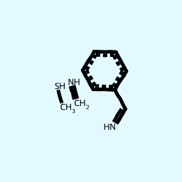 C=N.CS.N=Cc1ccccc1